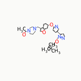 CC(=O)N1CCCN(Cc2coc3cc(Oc4ccc(-c5ccnn5COCC[Si](C)(C)C)cn4)ccc23)CC1